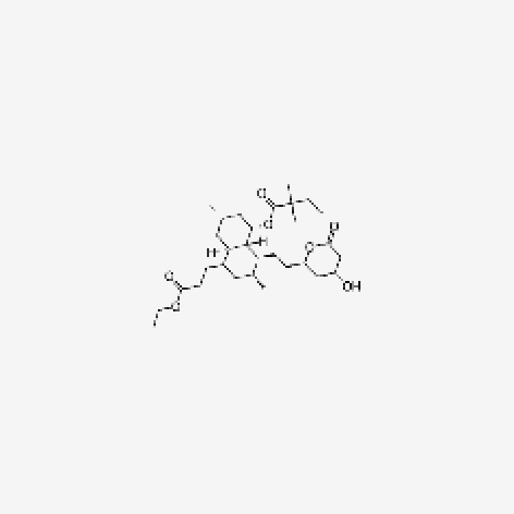 CCOC(=O)CCC1C[C@H](C)[C@H](CC[C@@H]2C[C@@H](O)CC(=O)O2)[C@H]2[C@@H](OC(=O)C(C)(C)CC)C[C@@H](C)C[C@H]12